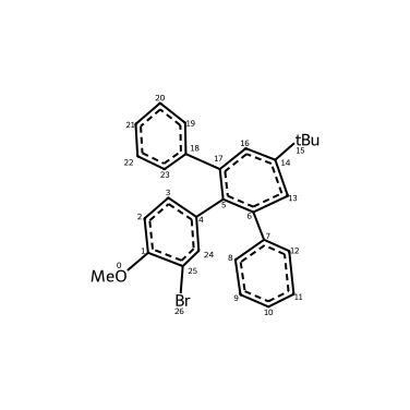 COc1ccc(-c2c(-c3ccccc3)cc(C(C)(C)C)cc2-c2ccccc2)cc1Br